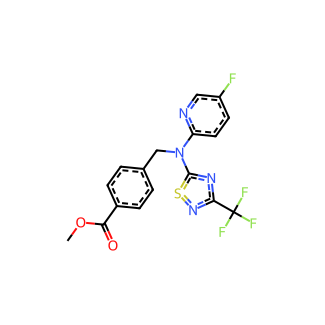 COC(=O)c1ccc(CN(c2ccc(F)cn2)c2nc(C(F)(F)F)ns2)cc1